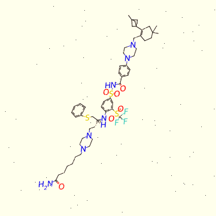 CC1(C)CCC(CN2CCN(c3ccc(C(=O)NS(=O)(=O)c4ccc(N[C@H](CCN5CCN(CCCCCCC(N)=O)CC5)CSc5ccccc5)c(S(=O)(=O)C(F)(F)F)c4)cc3)CC2)=C(C23CC(C)(C2)C3)C1